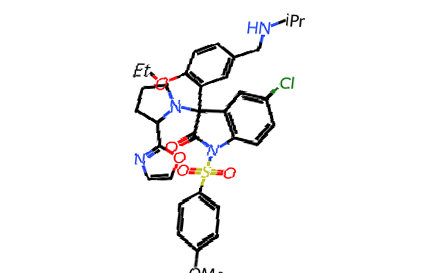 CCOc1ccc(CNC(C)C)cc1C1(N2CCCC2c2ncco2)C(=O)N(S(=O)(=O)c2ccc(OC)cc2)c2ccc(Cl)cc21